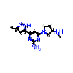 CNC1CCN(c2cc(-c3cc(C)n[nH]3)nc(N)n2)C1